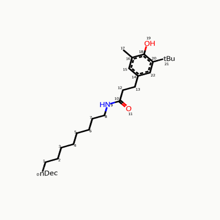 CCCCCCCCCCCCCCCCCCNC(=O)CCc1cc(C)c(O)c(C(C)(C)C)c1